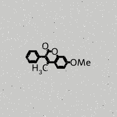 COc1ccc2c(C)c(-c3ccccc3)c(=O)oc2c1